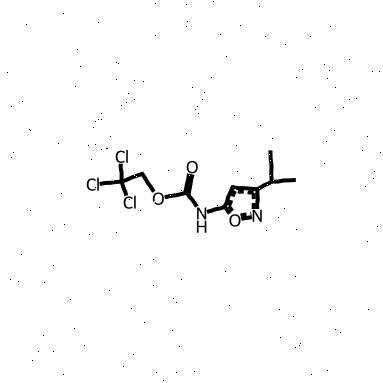 CC(C)c1cc(NC(=O)OCC(Cl)(Cl)Cl)on1